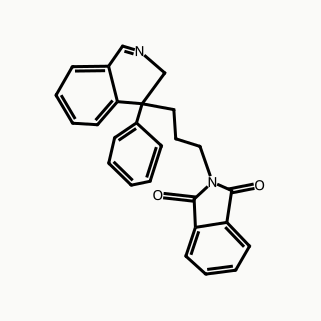 O=C1c2ccccc2C(=O)N1CCCC1(c2ccccc2)CN=Cc2ccccc21